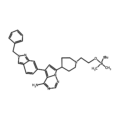 CC(C)(C)[Si](C)(C)OCCN1CCC(c2cc(-c3ccc4cn(Cc5ccccc5)nc4c3)c3c(N)ncnn23)CC1